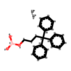 [Li+].[Li+].[O-]B([O-])OCCCC(c1ccccc1)(c1ccccc1)c1ccccc1